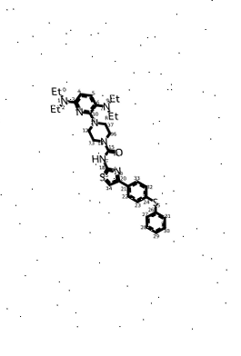 CCN(CC)c1ccc(N(CC)CC)c(N2CCN(C(=O)Nc3nc(-c4ccc(Sc5ccccc5)cc4)cs3)CC2)n1